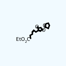 CCOC(=O)CCC/C=C\CC1=CC(OC2CCCCO2)CC1=O